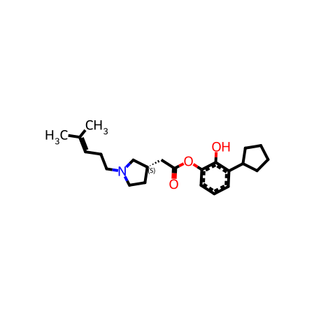 CC(C)=CCCN1CC[C@@H](CC(=O)Oc2cccc(C3CCCC3)c2O)C1